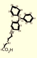 O=C(O)CSCCBr.c1ccc(P(c2ccccc2)c2ccccc2)cc1